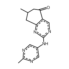 Cc1ncc(Nc2ncc3c(n2)CC(C)CC3=O)cn1